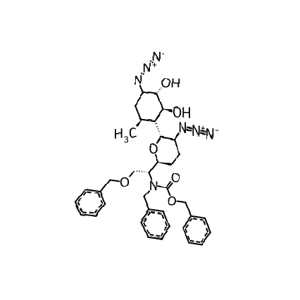 C[C@H]1CC(N=[N+]=[N-])[C@H](O)[C@@H](O)C1[C@H]1O[C@H]([C@@H](COCc2ccccc2)N(Cc2ccccc2)C(=O)OCc2ccccc2)CCC1N=[N+]=[N-]